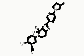 CC1(O)c2sc(-c3ccc(N4CCC(F)C4)nc3)nc2CCN1c1ccc(N)c(C#N)c1